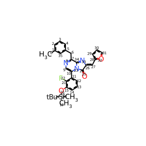 Cc1cccc(CC2=NC=C(c3cccc(O[Si](C)(C)C(C)(C)C)c3F)N3C(=O)C(=Cc4ccco4)N=C23)c1